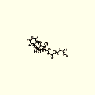 CCC(C)CCOC(C)CCNC(=O)c1nc2ccccc2nc1O